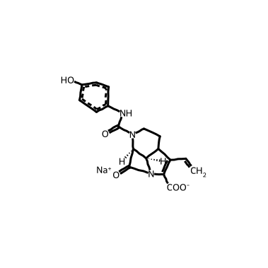 C=CC1=C(C(=O)[O-])N2C(=O)[C@@H]3[C@H]2C1CCN3C(=O)Nc1ccc(O)cc1.[Na+]